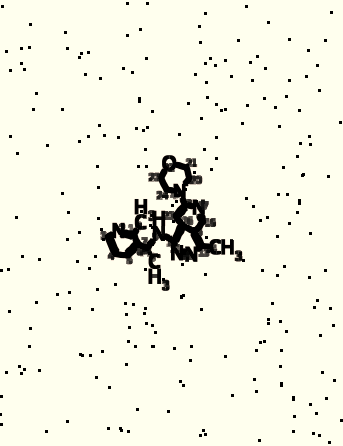 Cc1ncccc1[C@@H](C)Nc1nnc(C)c2cnc(N3CCOCC3)cc12